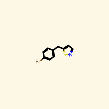 Brc1ccc(Cc2ccns2)cc1